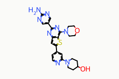 Nc1ncc(-c2nc(N3CCOCC3)c3sc(-c4ccnc(N5CCC(O)CC5)c4)cc3n2)cn1